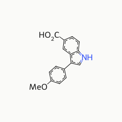 COc1ccc(-c2c[nH]c3ccc(C(=O)O)cc23)cc1